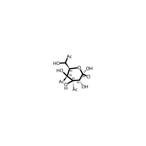 CC(=O)C(O)[C@H]1O[C@@](O)(Cl)[C@H](O)[C@](O)(C(C)=O)[C@@]1(O)C(C)=O